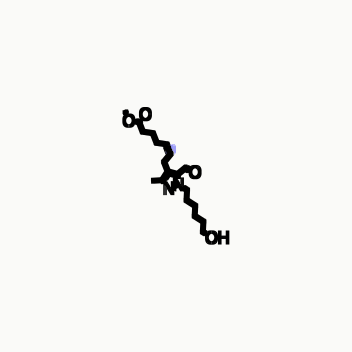 COC(=O)CCC/C=C\Cc1c(C)nn(CCCCCCO)c1C=O